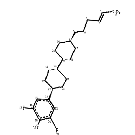 CCC/C=C/CCC[C@H]1CC[C@H]([C@H]2CC[C@H](c3cc(F)c(F)c(F)c3)CC2)CC1